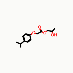 CC(O)COC(=O)COc1ccc(C(C)C)cc1